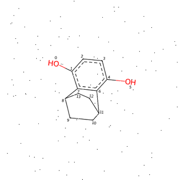 Oc1ccc(O)c2c1C1CCC2CC1